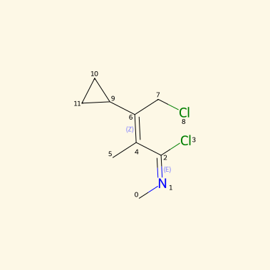 C/N=C(Cl)\C(C)=C(/CCl)C1CC1